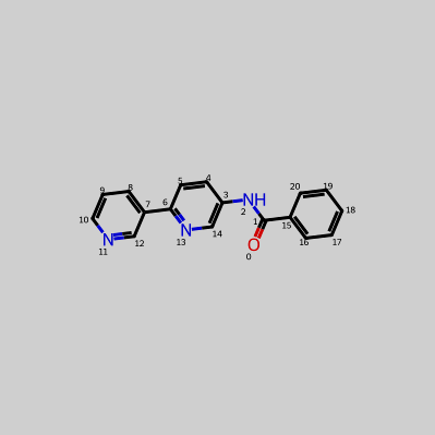 O=C(Nc1ccc(-c2cccnc2)nc1)c1ccccc1